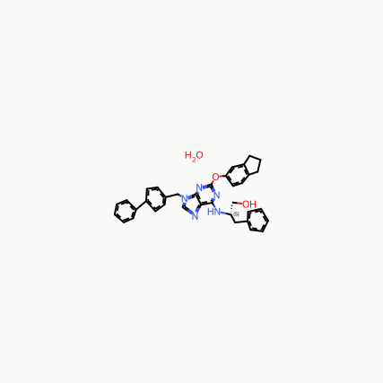 O.OC[C@H](Cc1ccccc1)Nc1nc(Oc2ccc3c(c2)CCC3)nc2c1ncn2Cc1ccc(-c2ccccc2)cc1